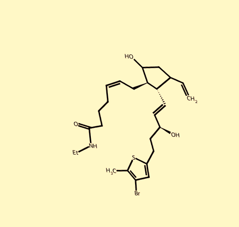 C=CC1CC(O)[C@H](C/C=C\CCCC(=O)NCC)[C@H]1/C=C/[C@@H](O)CCc1cc(Br)c(C)s1